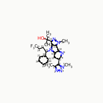 Cc1nnn(C)c1-c1cnc2c3c(c(C(C)(C)O)nn3C)n(C(CCC(F)(F)F)c3ccccc3)c2c1